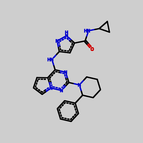 O=C(NC1CC1)c1cc(Nc2nc(N3CCCCC3c3ccccc3)nn3cccc23)n[nH]1